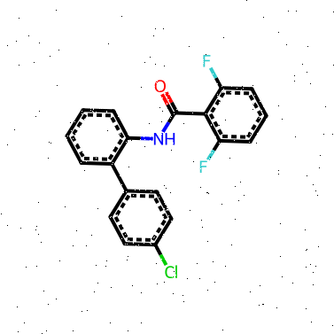 O=C(Nc1ccccc1-c1ccc(Cl)cc1)c1c(F)cccc1F